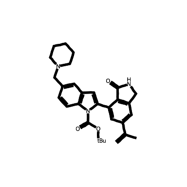 C=C(C)c1cc2c(c(-c3cc4cc(CN5CCCCC5)ccc4n3C(=O)OC(C)(C)C)c1)C(=O)NC2